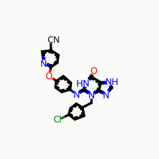 N#Cc1ccc(Oc2ccc(/N=c3\[nH]c(=O)c4[nH]cnc4n3Cc3ccc(Cl)cc3)cc2)nc1